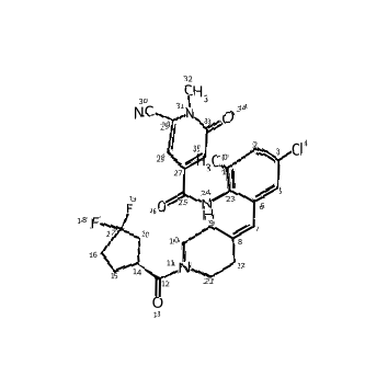 Cc1cc(Cl)cc(C=C2CCN(C(=O)[C@H]3CCC(F)(F)C3)CC2)c1NC(=O)c1cc(C#N)n(C)c(=O)c1